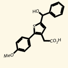 COc1ccc(-c2sc(C(O)c3ccccc3)cc2CC(=O)O)cc1